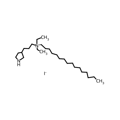 CCCCCCCCCCCCCCCC[N+](CC)(CC)CCCC1CCNC1.[I-]